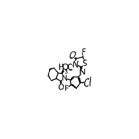 CN1C(=O)C(F)SC1=Nc1cc(N2C(=O)C3CCCCC3C2=O)c(F)cc1Cl